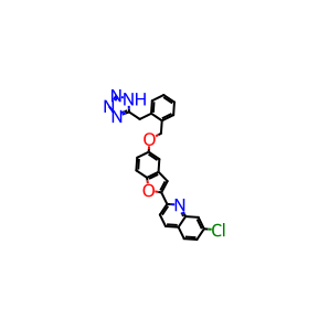 Clc1ccc2ccc(-c3cc4cc(OCc5ccccc5Cc5nnn[nH]5)ccc4o3)nc2c1